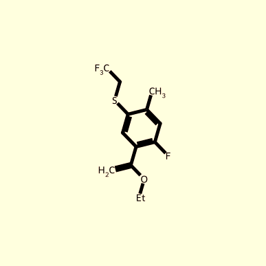 C=C(OCC)c1cc(SCC(F)(F)F)c(C)cc1F